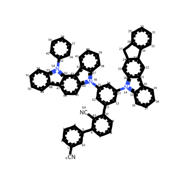 N#Cc1cccc(-c2cccc(-c3cc(-n4c5ccccc5c5cc6c(cc54)Cc4ccccc4-6)cc(-n4c5ccccc5c5c4ccc4c6ccccc6n(-c6ccccc6)c45)c3)c2C#N)c1